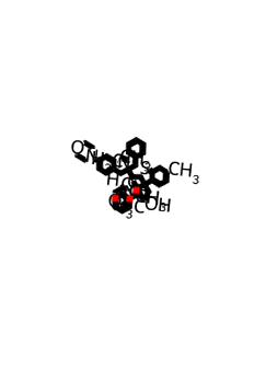 CC1=CC=C(C(CC(=O)C(Cc2ccccc2)(Cc2ccc(N3CCOCC3)cc2)N(C)C)(CC(C)(O)C(=O)c2ccccc2)C(C)(C)N2CCOCC2)C(=S)C1